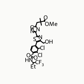 CCC(NS(=O)(=O)c1ccc(-c2sc(-c3noc(CC(C)(C)C(=O)OC)n3)nc2CO)c(Cl)c1Cl)C(F)(F)F